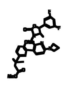 COC(=O)CC(C)(C)c1ccc(OC)c(-c2ccc(N3CCC3)nc2CN2C(=O)OC(c3cc(F)cc(F)c3)C2C)c1